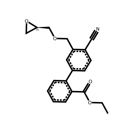 CCOC(=O)c1ccccc1-c1ccc(C#N)c(COC[C@H]2CO2)c1